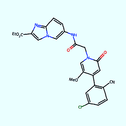 CCOC(=O)c1cn2cc(NC(=O)Cn3cc(OC)c(-c4cc(Cl)ccc4C#N)cc3=O)ccc2n1